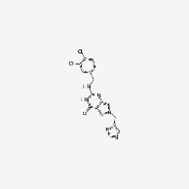 O=c1[nH]c(NCc2ccc(Cl)c(Cl)c2)nc2cn(Cn3cncn3)nc12